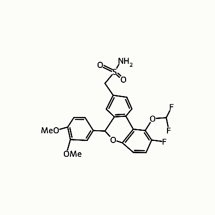 COc1ccc(C2Oc3ccc(F)c(OC(F)F)c3-c3ccc(CS(N)(=O)=O)cc32)cc1OC